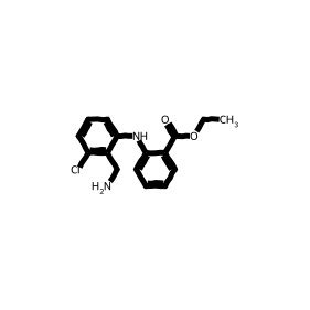 CCOC(=O)c1ccccc1Nc1cccc(Cl)c1CN